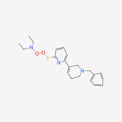 CCN(CC)OOSc1cccc(C2=CCCN(Cc3ccccc3)C2)n1